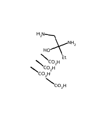 CC(=O)O.CC(=O)O.CC(=O)O.CC(=O)O.CCC(N)(O)CN